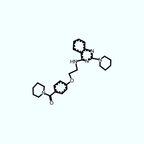 O=C(c1ccc(OCCNc2nc(N3CCCCC3)nc3ccccc23)cc1)N1CCCCC1